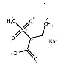 CCC(C(=O)[O-])S(C)(=O)=O.[Na+]